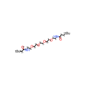 CC(C)(C)CCC(=O)NCCOCCOCCOCCOCCNC(=O)CC(C)(C)C